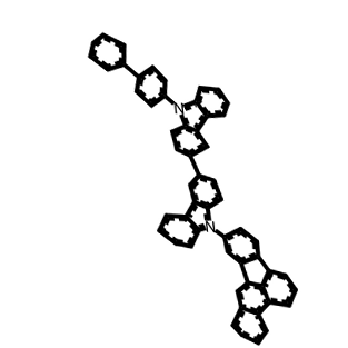 c1ccc(-c2ccc(-n3c4ccccc4c4cc(-c5ccc6c(c5)c5ccccc5n6-c5ccc6c(c5)-c5cc7ccccc7c7cccc-6c57)ccc43)cc2)cc1